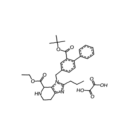 CCCc1nc2c(n1Cc1ccc(-c3ccccc3)c(C(=O)OC(C)(C)C)c1)C(C(=O)OCC)NCC2.O=C(O)C(=O)O